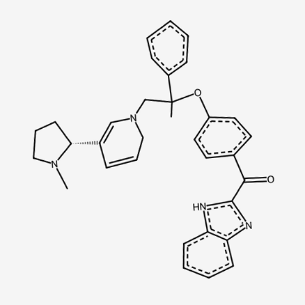 CN1CCC[C@@H]1C1=CN(CC(C)(Oc2ccc(C(=O)c3nc4ccccc4[nH]3)cc2)c2ccccc2)CC=C1